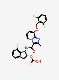 Cc1nc2c(OCc3c(F)cccc3F)cccn2c1C(=O)N[C@H]1c2c(F)cccc2C[C@H]1OC(=O)O